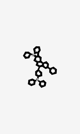 c1ccc(-c2ccc3c(c2)c(-c2ccc(N(c4ccccc4)c4ccccc4)cc2)cc2cc4c(cc23)c2ccccc2n4-c2ccccc2)cc1